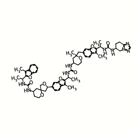 Cc1c(C(C)NC(=O)NC2CCc3ncnn3C2)oc2cc(CC3(C)CC(NC(=O)NC(C)c4oc5cc(C6CC7(CO6)CC(NC(=O)NC(C)c6oc8ccccc8c6C)CCO7)ccc5c4C)CCO3)ccc12